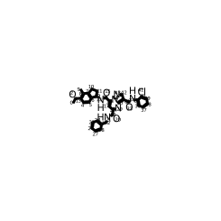 CC(=O)c1ccc2c(c1C)CC[C@@H]2NC(=O)c1cc(C(=O)NCc2ccccc2)nc2c(C(=O)Nc3ccccc3Cl)cnn12